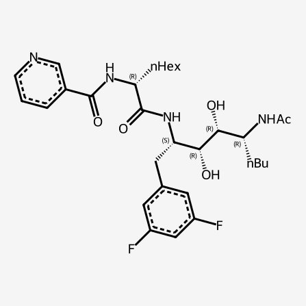 CCCCCC[C@@H](NC(=O)c1cccnc1)C(=O)N[C@@H](Cc1cc(F)cc(F)c1)[C@@H](O)[C@H](O)[C@@H](CCCC)NC(C)=O